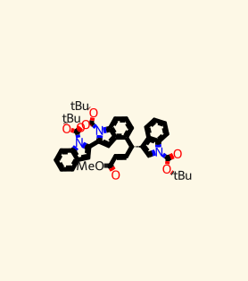 COC(=O)/C=C/[C@@H](c1cn(C(=O)OC(C)(C)C)c2ccccc12)c1cccc2c1cc(-c1cc3ccccc3n1C(=O)OC(C)(C)C)n2C(=O)OC(C)(C)C